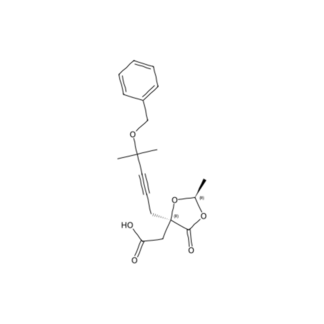 C[C@H]1OC(=O)[C@@](CC#CC(C)(C)OCc2ccccc2)(CC(=O)O)O1